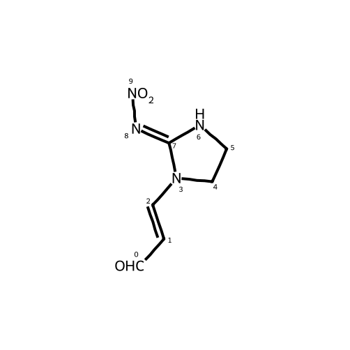 O=C/C=C/N1CCN/C1=N\[N+](=O)[O-]